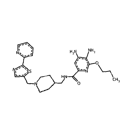 CCCOc1nc(C(=O)NCC2CCN(Cc3cnc(-c4ccccn4)s3)CC2)cc(N)c1N